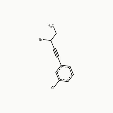 CCC(Br)C#Cc1cccc(Cl)c1